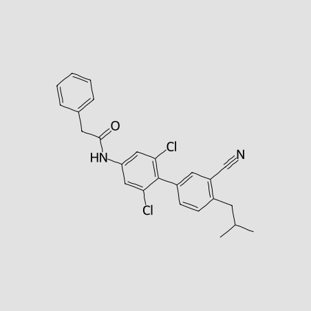 CC(C)Cc1ccc(-c2c(Cl)cc(NC(=O)Cc3ccccc3)cc2Cl)cc1C#N